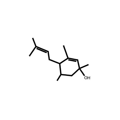 CC(C)=CCC1C(C)=CC(C)(O)CC1C